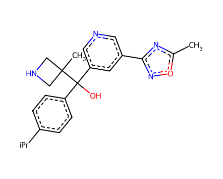 Cc1nc(-c2cncc(C(O)(c3ccc(C(C)C)cc3)C3(C)CNC3)c2)no1